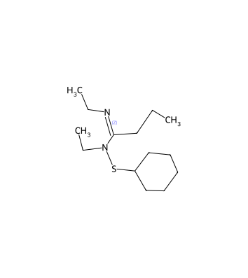 CCC/C(=N/CC)N(CC)SC1CCCCC1